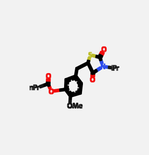 CCCC(=O)Oc1cc(CC2SC(=O)N(C(C)C)C2=O)ccc1OC